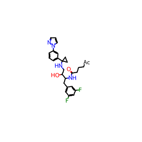 CC(=O)CCCC(=O)NC(Cc1cc(F)cc(F)c1)C(O)CNC1(c2cccc(-n3cccn3)c2)CC1